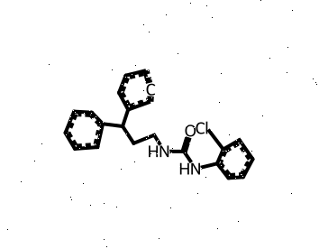 O=C(NCCC(c1ccccc1)c1ccccc1)Nc1ccccc1Cl